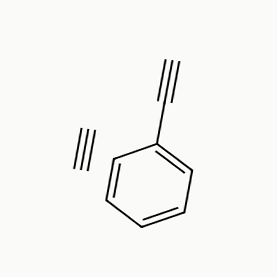 C#C.C#Cc1ccccc1